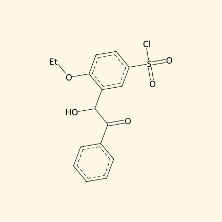 CCOc1ccc(S(=O)(=O)Cl)cc1C(O)C(=O)c1ccccc1